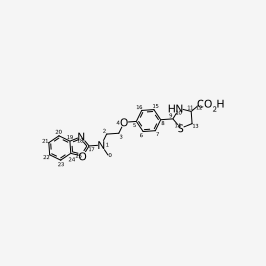 CN(CCOc1ccc(C2NC(C(=O)O)CS2)cc1)c1nc2ccccc2o1